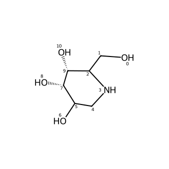 OCC1NCC(O)[C@H](O)[C@@H]1O